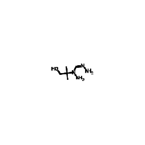 CC(C)(CO)N(N)/C=N\N